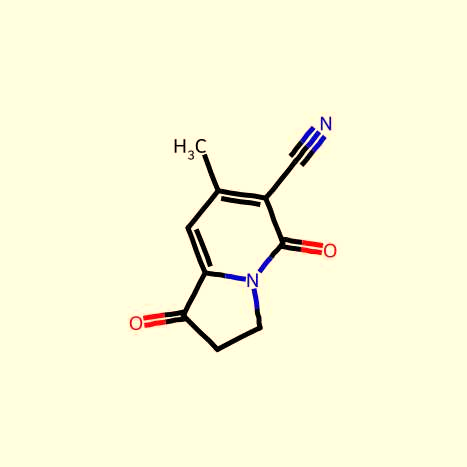 Cc1cc2n(c(=O)c1C#N)CCC2=O